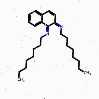 CCCCCCCCN=C1C=Cc2ccccc2C1=NCCCCCCCC